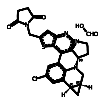 O=C1CCC(=O)N1Cc1cc2nccc(-c3cc(Cl)cc4c3N([C@@H]3CCNC3)C[C@H]3C[C@@H]43)c2s1.O=CO